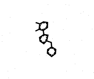 Cc1cccc(-c2[c]ccc(Cc3ccccc3)c2)c1C